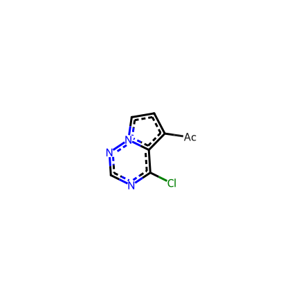 CC(=O)c1ccn2ncnc(Cl)c12